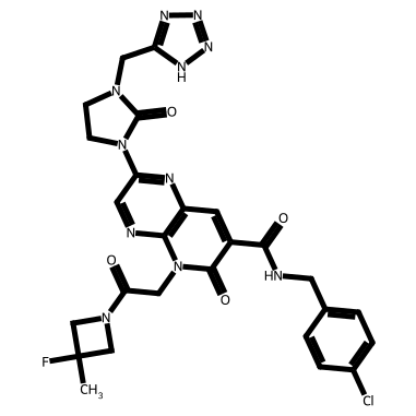 CC1(F)CN(C(=O)Cn2c(=O)c(C(=O)NCc3ccc(Cl)cc3)cc3nc(N4CCN(Cc5nnn[nH]5)C4=O)cnc32)C1